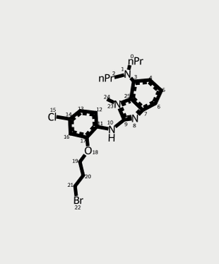 CCCN(CCC)c1cccc2nc(Nc3ccc(Cl)cc3OCCCBr)n(C)c12